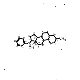 CC1CCC2C(CCC3C2CCC2(C)C3CCC2P(O)c2ccccc2)C1